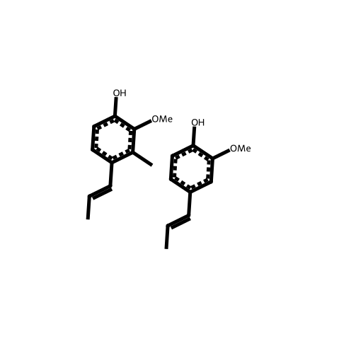 CC=Cc1ccc(O)c(OC)c1.CC=Cc1ccc(O)c(OC)c1C